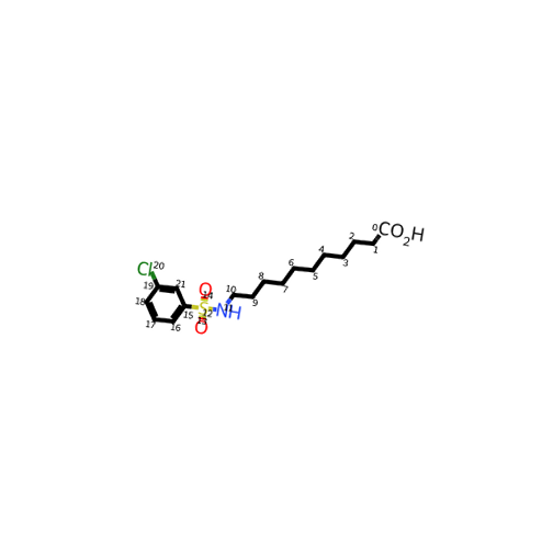 O=C(O)CCCCCCCCCCNS(=O)(=O)c1cccc(Cl)c1